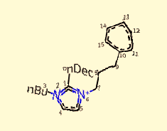 CCCCCCCCCCc1n(CCCC)cc[n+]1CCCc1ccccc1